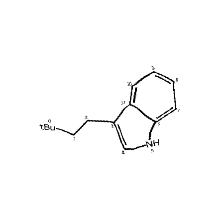 CC(C)(C)CCc1c[nH]c2ccccc12